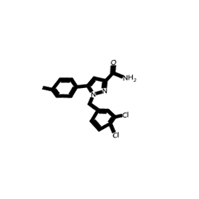 Cc1ccc(-c2cc(C(N)=O)nn2Cc2ccc(Cl)c(Cl)c2)cc1